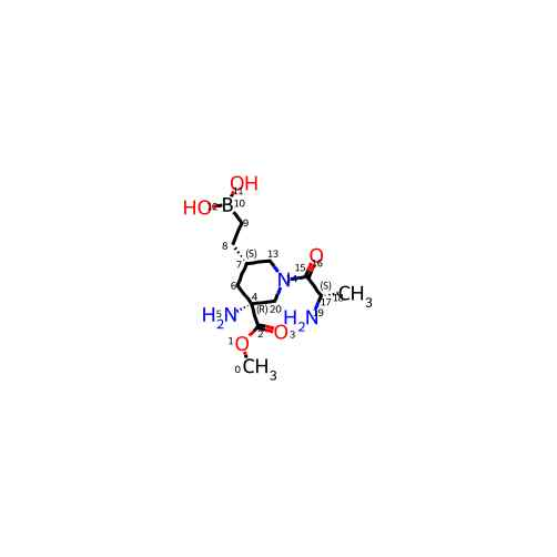 COC(=O)[C@@]1(N)C[C@H](CCB(O)O)CN(C(=O)[C@H](C)N)C1